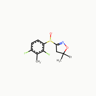 [CH2]c1c(F)ccc([S+]([O-])C2=NOC(C)(CC)C2)c1F